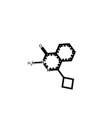 Nn1nc(C2CCC2)c2ccccc2c1=O